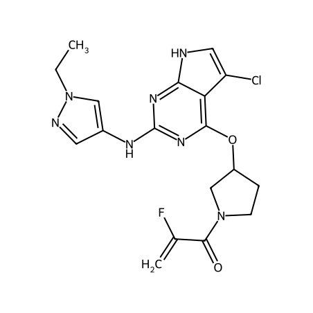 C=C(F)C(=O)N1CCC(Oc2nc(Nc3cnn(CC)c3)nc3[nH]cc(Cl)c23)C1